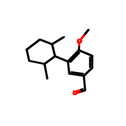 COc1ccc(C=O)cc1C1C(C)CCCC1C